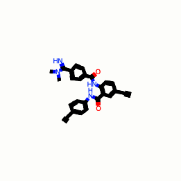 C#Cc1ccc(NC(=O)c2cc(C#C)ccc2NC(=O)c2ccc(C(=N)N(C)C)cc2)cc1